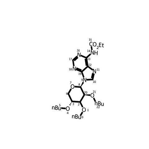 CCCCOC1[C@H](OCCCC)CO[C@@H](n2cnc3c(NC(=O)OCC)ncnc32)[C@H]1OCCCC